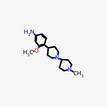 COc1cc(N)ccc1C1CCN(C2CCN(C)CC2)CC1